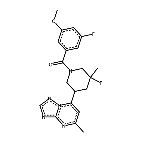 COc1cc(F)cc(C(=O)N2CC(c3cc(C)nc4ncnn34)CC(C)(F)C2)c1